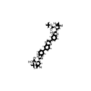 CC(C)(C)OC(=O)N1[C@@H]2C[C@@H]2C[C@H]1c1nc2ccc(-c3cnc4cc(-c5ccc6[nH]c([C@@H]7C[C@@H]8C[C@@]8(C(C)(C)C)N7C(=O)O)nc6c5)ccc4n3)cc2[nH]1